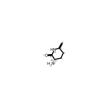 C=C1CC[C@H](N)C(=O)N1